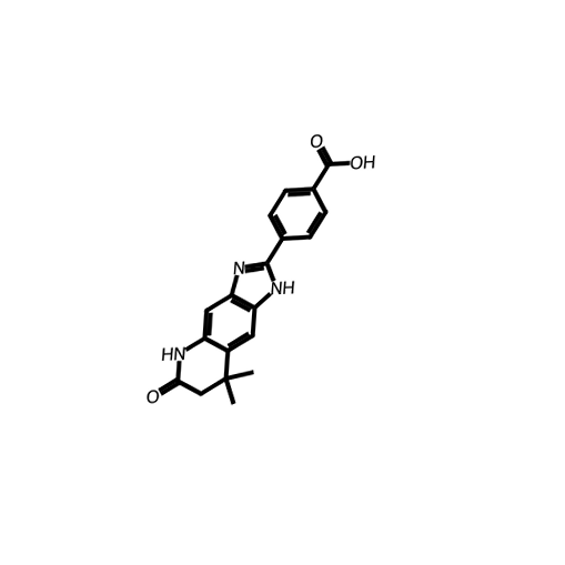 CC1(C)CC(=O)Nc2cc3nc(-c4ccc(C(=O)O)cc4)[nH]c3cc21